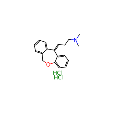 CN(C)CCC=C1c2ccccc2COc2ccccc21.Cl.Cl